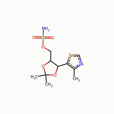 Cc1ncsc1C1OC(C)(C)OC1COS(N)(=O)=O